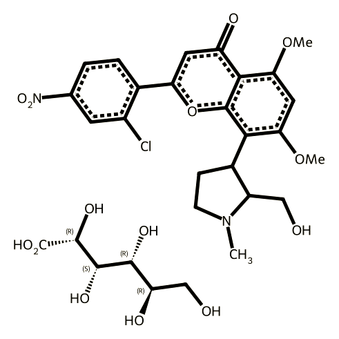 COc1cc(OC)c2c(=O)cc(-c3ccc([N+](=O)[O-])cc3Cl)oc2c1C1CCN(C)C1CO.O=C(O)[C@H](O)[C@@H](O)[C@H](O)[C@H](O)CO